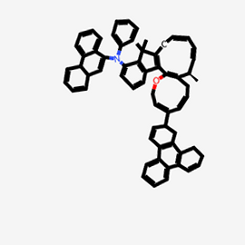 C[C@@H]1/C=C\C=C/CC2=C(/C3=C\1C/C=C\C(C1C=Cc4c(c5c(c6ccccc46)C=CCC5)C1)=C/CO3)c1cccc(N(C3=CC4C=CC=CC4c4ccccc43)c3ccccc3)c1C2(C)C